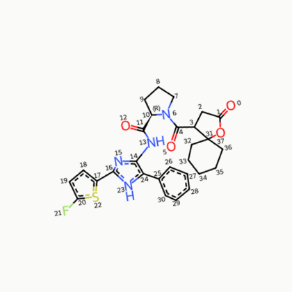 O=C1CC(C(=O)N2CCC[C@@H]2C(=O)Nc2nc(-c3ccc(F)s3)[nH]c2-c2ccccc2)C2(CCCCC2)O1